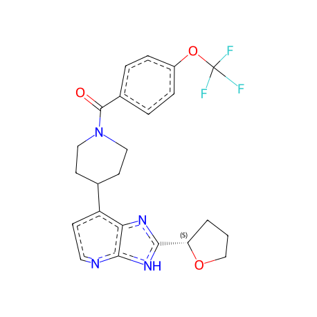 O=C(c1ccc(OC(F)(F)F)cc1)N1CCC(c2ccnc3[nH]c([C@@H]4CCCO4)nc23)CC1